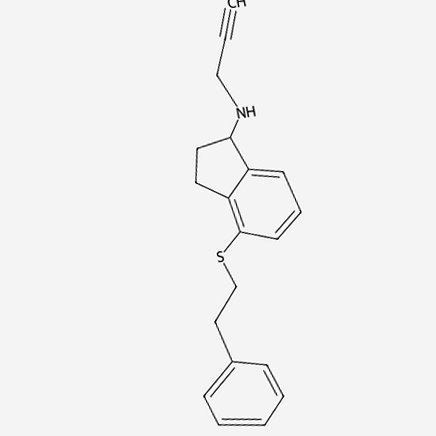 C#CCNC1CCc2c(SCCc3ccccc3)cccc21